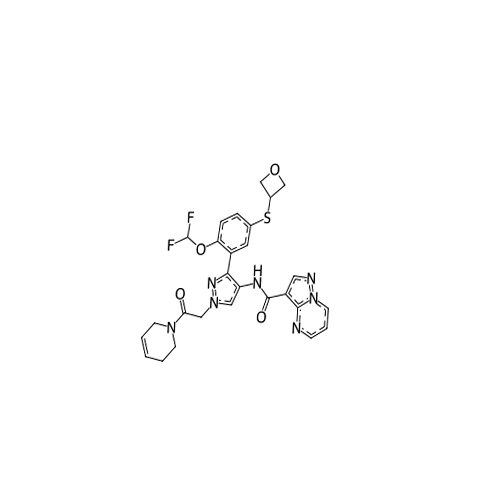 O=C(Nc1cn(CC(=O)N2CC=CCC2)nc1-c1cc(SC2COC2)ccc1OC(F)F)c1cnn2cccnc12